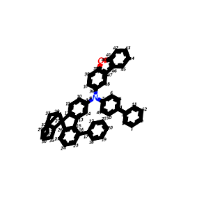 c1ccc(-c2ccc(N(c3ccc4c(c3)-c3c(-c5ccccc5)cccc3C43C4CC5CC(C4)C3C5)c3ccc4oc5ccccc5c4c3)cc2)cc1